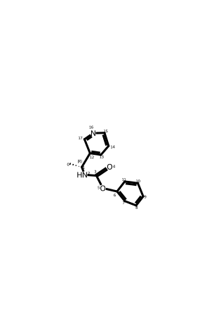 C[C@@H](NC(=O)Oc1ccccc1)c1cccnc1